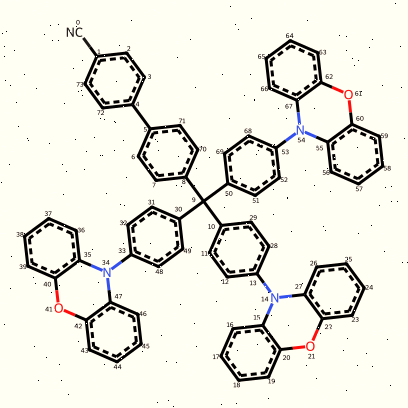 N#Cc1ccc(-c2ccc(C(c3ccc(N4c5ccccc5Oc5ccccc54)cc3)(c3ccc(N4c5ccccc5Oc5ccccc54)cc3)c3ccc(N4c5ccccc5Oc5ccccc54)cc3)cc2)cc1